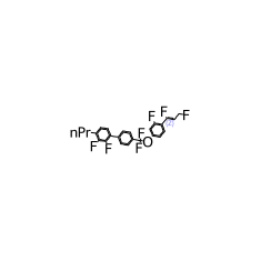 CCCc1ccc(-c2ccc(C(F)(F)Oc3ccc(/C(F)=C/CF)c(F)c3)cc2)c(F)c1F